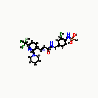 CS(=O)(=O)Nc1ccc(CNC(=O)/C=C/c2ccc(C(F)(F)F)nc2N2CCCCC2)cc1F